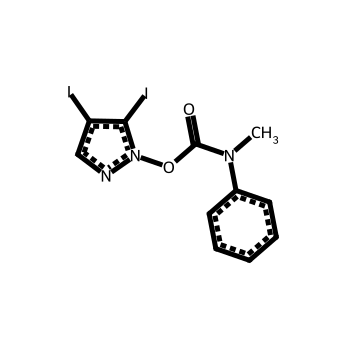 CN(C(=O)On1ncc(I)c1I)c1ccccc1